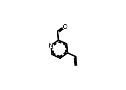 C=Cc1ccnc(C=O)c1